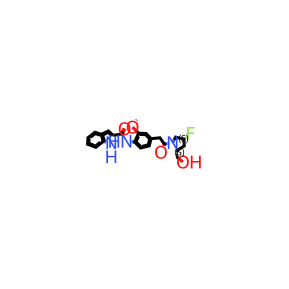 COc1cc(CC(=O)N2C[C@@H](F)C[C@H]2CO)ccc1NC(=O)c1cc2ccccc2[nH]1